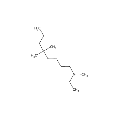 CCCC(C)(C)CCCCN(C)CC